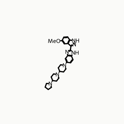 COc1ccc2[nH]nc(-c3nc4cc(N5CCC(N6CCC(N7CCCC7)CC6)CC5)ccc4[nH]3)c2c1